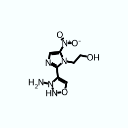 NN1NOC=C1c1ncc([N+](=O)[O-])n1CCO